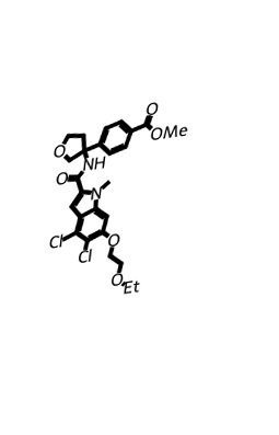 CCOCCOc1cc2c(cc(C(=O)NC3(c4ccc(C(=O)OC)cc4)CCOC3)n2C)c(Cl)c1Cl